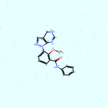 COc1c(C(=O)Nc2ccccc2)cccc1-n1ncc2c1N=CNC2